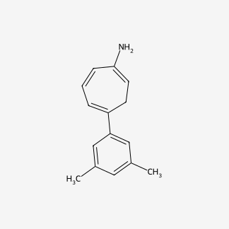 Cc1cc(C)cc(C2=CC=CC(N)=CC2)c1